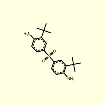 CC(C)(C)c1cc(S(=O)(=O)c2ccc(N)c(C(C)(C)C)c2)ccc1N